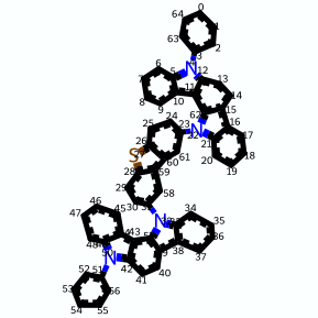 c1ccc(-n2c3ccccc3c3c2ccc2c4ccccc4n(-c4ccc5sc6ccc(-n7c8ccccc8c8ccc9c(c%10ccccc%10n9-c9ccccc9)c87)cc6c5c4)c23)cc1